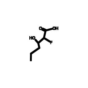 CCCC(O)C(F)C(=O)O